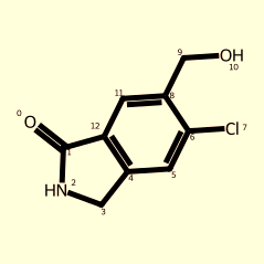 O=C1NCc2cc(Cl)c(CO)cc21